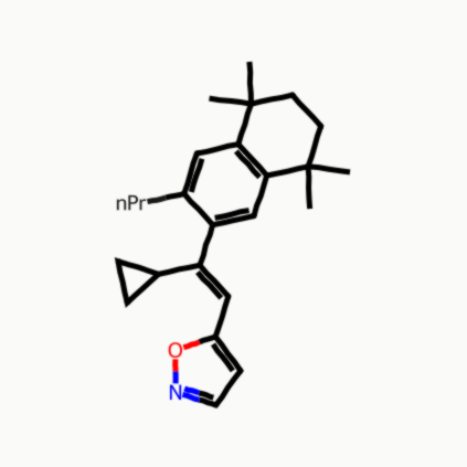 CCCc1cc2c(cc1C(=Cc1ccno1)C1CC1)C(C)(C)CCC2(C)C